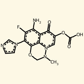 CN1COc2c(-n3ccnc3)c(F)c(N)c3c(=O)c(OC(=O)O)cn1c23